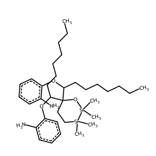 CCCCCCCC(Oc1ccccc1N)C1(C(CCCCCCC)Oc2ccccc2N)CC[Si](C)(C)[Si](C)(C)O1